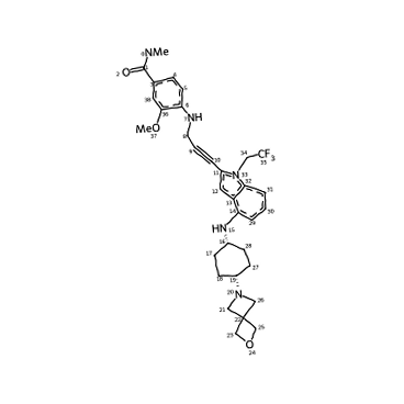 CNC(=O)c1ccc(NCC#Cc2cc3c(N[C@H]4CC[C@@H](N5CC6(COC6)C5)CC4)cccc3n2CC(F)(F)F)c(OC)c1